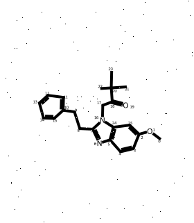 COc1ccc2nc(CCc3ccccc3)n(CC(=O)C(C)(C)C)c2c1